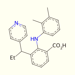 CCC(c1ccncc1)c1cccc(C(=O)O)c1Nc1cccc(C)c1C